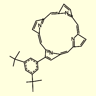 CC(C)(C)c1cc(C2=CC3=CC4=NC(=CC5=NC(=CC6=NC(=CC2=N3)C=C6)C=C5)C=C4)cc(C(C)(C)C)c1